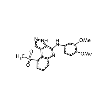 COc1ccc(Nc2nc3cccc(S(C)(=O)=O)c3c3cn[nH]c23)cc1OC